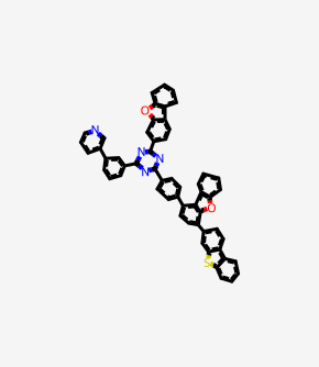 c1cncc(-c2cccc(-c3nc(-c4ccc(-c5ccc(-c6ccc7c(c6)sc6ccccc67)c6oc7ccccc7c56)cc4)nc(-c4ccc5c(c4)oc4ccccc45)n3)c2)c1